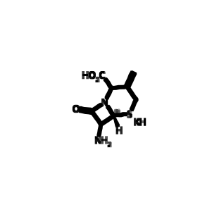 C=C1CS[C@@H]2C(N)C(=O)N2C1C(=O)O.[KH]